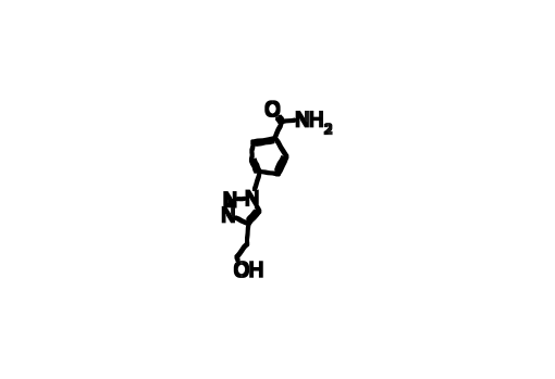 NC(=O)c1ccc(-n2cc(CCO)nn2)cc1